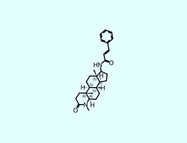 CN1C(=O)CC[C@]2(C)[C@H]3CC[C@]4(C)C(NC(=O)C=Cc5ccccc5)CC[C@H]4[C@@H]3CC[C@@H]12